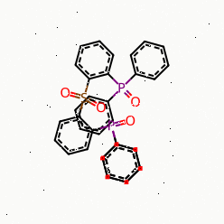 O=P(c1ccccc1)(c1ccccc1)c1ccccc1S(=O)(=O)c1ccccc1P(=O)(c1ccccc1)c1ccccc1